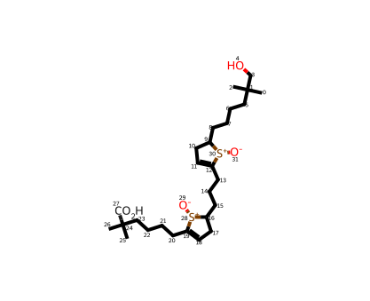 CC(C)(CO)CCCCC1CC=C(CCCC2CC=C(CCCCC(C)(C)C(=O)O)[S+]2[O-])[S+]1[O-]